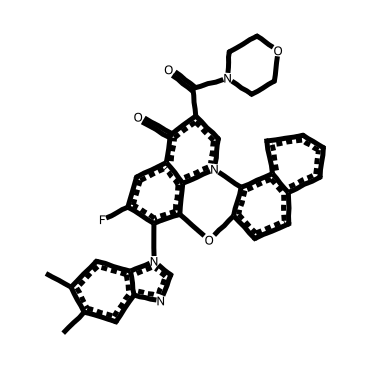 Cc1cc2ncn(-c3c(F)cc4c(=O)c(C(=O)N5CCOCC5)cn5c4c3Oc3ccc4ccccc4c3-5)c2cc1C